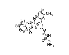 Cc1cc2c(CCOCNC(=O)CN)c3c(nc2cc1F)-c1cc2c(c(=O)n1C3)COC(=O)[C@H]2O